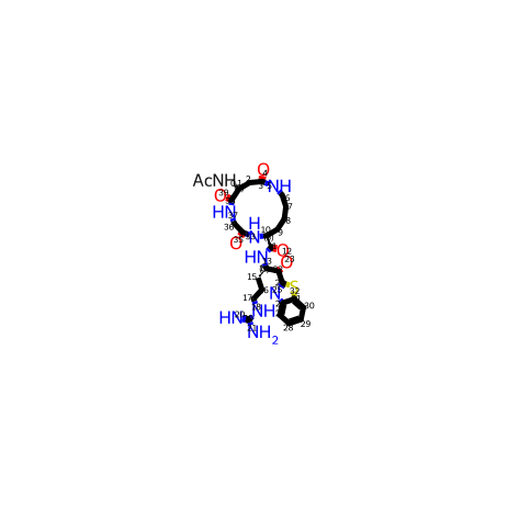 CC(=O)N[C@H]1CC(=O)NCCCC[C@@H](C(=O)N[C@@H](CCCNC(=N)N)C(=O)c2nc3ccccc3s2)NC(=O)CNC1=O